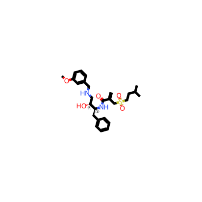 C=C(CS(=O)(=O)CCC(C)C)C(=O)N[C@@H](Cc1ccccc1)[C@H](O)CNCc1cccc(OC)c1